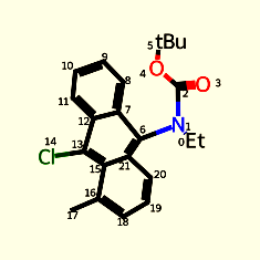 CCN(C(=O)OC(C)(C)C)c1c2ccccc2c(Cl)c2c(C)cccc12